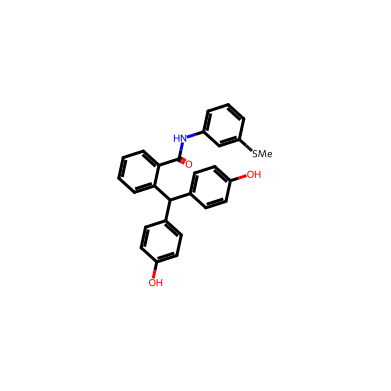 CSc1cccc(NC(=O)c2ccccc2C(c2ccc(O)cc2)c2ccc(O)cc2)c1